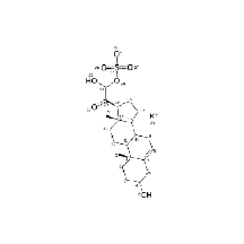 C[C@]12CCC(O)CC1=CCC1C2CC[C@@]2(C)C1CC[C@@H]2C(=O)C(O)OS(=O)(=O)[O-].[K+]